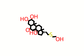 CC12CC(O)C(O)CC1C(=O)C=C1C2CCC2(C)[C@@H](CCSCCO)CC[C@@]12O